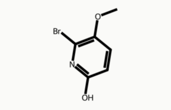 COc1ccc(O)nc1Br